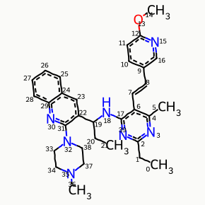 CCc1nc(C)c(/C=C/c2ccc(OC)nc2)c(NC(CC)c2cc3ccccc3nc2N2CCN(C)CC2)n1